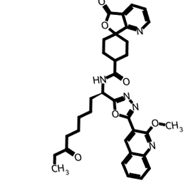 CCC(=O)CCCCC[C@@H](NC(=O)C1CCC2(CC1)OC(=O)c1cccnc12)c1nnc(-c2cc3ccccc3nc2OC)o1